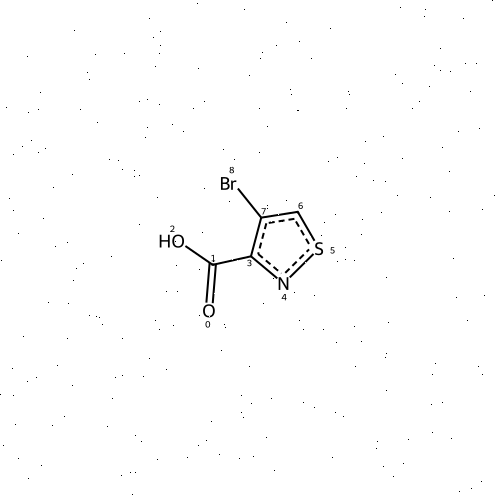 O=C(O)c1nscc1Br